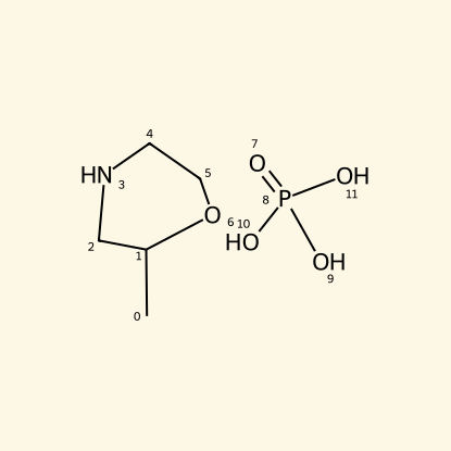 CC1CNCCO1.O=P(O)(O)O